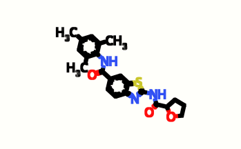 Cc1cc(C)c(NC(=O)c2ccc3nc(NC(=O)C4CCCO4)sc3c2)c(C)c1